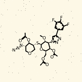 CO[C@@H]1[C@@H](n2cc(-c3cc(F)c(F)c(F)c3)nn2)[C@@H](OC(C)=O)[C@@H](COC(C)=O)O[C@H]1S[C@@H]1COC[C@H](N=[N+]=[N-])[C@H]1OC(C)=O